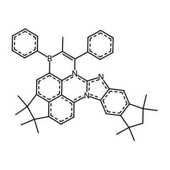 CC1=C(c2ccccc2)n2c3c(cc4c5c(ccc(c53)n3c5cc6c(cc5nc23)C(C)(C)CC6(C)C)C(C)(C)C4(C)C)B1c1ccccc1